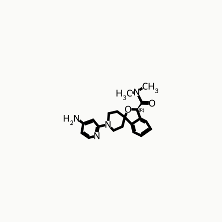 CN(C)C(=O)[C@@H]1OC2(CCN(c3cc(N)ccn3)CC2)c2ccccc21